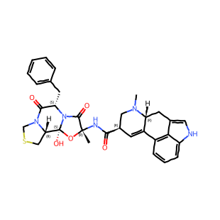 CN1C[C@H](C(=O)N[C@]2(C)O[C@@]3(O)[C@@H]4CSCN4C(=O)[C@H](Cc4ccccc4)N3C2=O)C=C2c3cccc4[nH]cc(c34)C[C@H]21